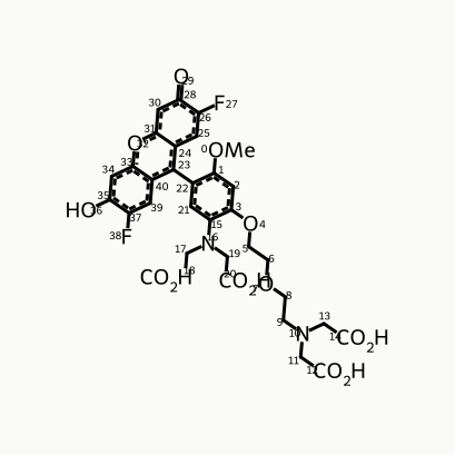 COc1cc(OCCOCCN(CC(=O)O)CC(=O)O)c(N(CC(=O)O)CC(=O)O)cc1-c1c2cc(F)c(=O)cc-2oc2cc(O)c(F)cc12